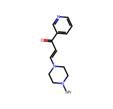 CCCN1CCN(C=CC(=O)c2cccnc2)CC1